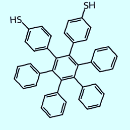 Sc1ccc(-c2c(-c3ccccc3)c(-c3ccccc3)c(-c3ccccc3)c(-c3ccccc3)c2-c2ccc(S)cc2)cc1